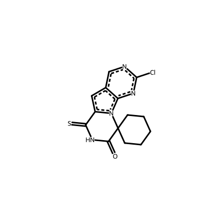 O=C1NC(=S)c2cc3cnc(Cl)nc3n2C12CCCCC2